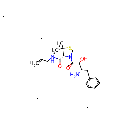 C=CCNC(=O)[C@H]1N(C(=O)[C@@H](O)[C@@H](N)Cc2ccccc2)CSC1(C)C